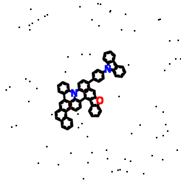 c1ccc(N(c2ccc(-c3ccc(-n4c5ccccc5c5ccccc54)cc3)cc2)c2ccccc2-c2cccc3oc4ccccc4c23)c(-c2ccc3c(ccc4ccccc43)c2)c1